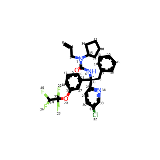 C=CCN(C(=O)N[C@@](Cc1ccccc1)(c1cccc(OC(F)(F)C(F)F)c1)c1ccc(Cl)cn1)C1CCCC1